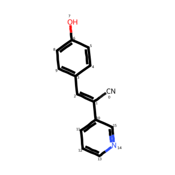 N#C/C(=C\c1ccc(O)cc1)c1cccnc1